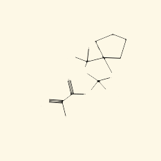 C=C(C)C(=O)OC1(C(F)(F)F)OC2(CCCC2)C(C(F)(F)F)(C(F)(F)F)O1